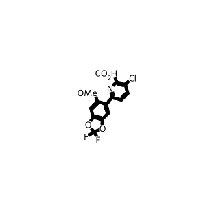 COc1cc2c(cc1-c1ccc(Cl)c(C(=O)O)n1)OC(F)(F)O2